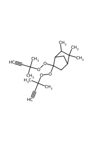 C#CC(C)(C)OOC1(OOC(C)(C)C#C)CC2CC1C(C)C2(C)C